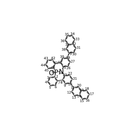 O=P12c3ccccc3-c3cc(-c4ccc5ccccc5c4)ccc3N1c1ccc(-c3ccc4ccccc4c3)cc1-c1ccccc12